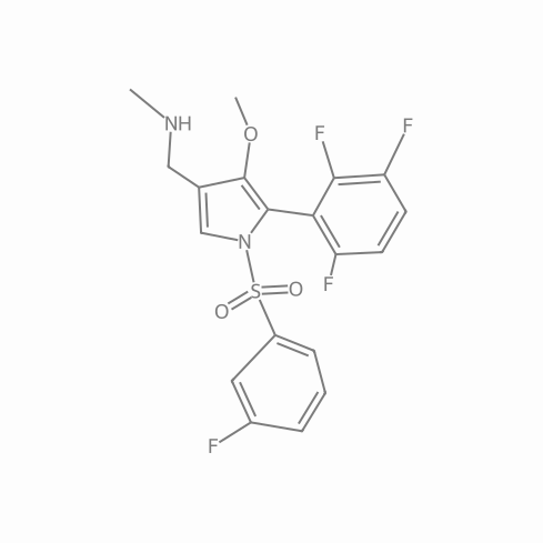 CNCc1cn(S(=O)(=O)c2cccc(F)c2)c(-c2c(F)ccc(F)c2F)c1OC